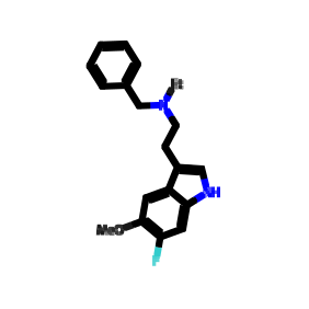 CCN(CCc1c[nH]c2cc(F)c(OC)cc12)Cc1ccccc1